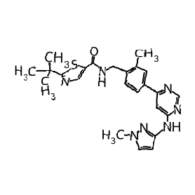 Cc1cc(-c2cc(Nc3ccn(C)n3)ncn2)ccc1CNC(=O)c1cnc(C(C)(C)C)s1